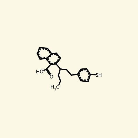 CCCC(CCc1ccc(S)cc1)c1ccc2ccccc2c1C(=O)O